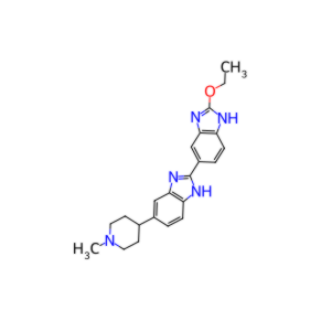 CCOc1nc2cc(-c3nc4cc(C5CCN(C)CC5)ccc4[nH]3)ccc2[nH]1